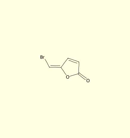 O=C1C=CC(=CBr)O1